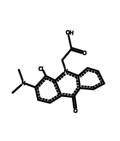 CN(C)c1ccc2c(=O)c3ccccc3n(CC(=O)O)c2c1Cl